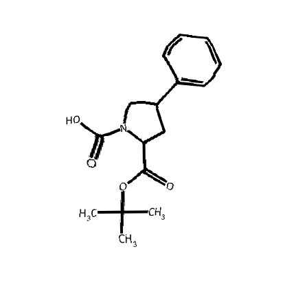 CC(C)(C)OC(=O)C1CC(c2ccccc2)CN1C(=O)O